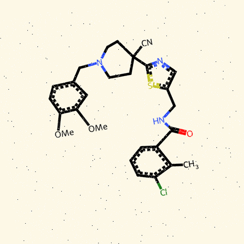 COc1ccc(CN2CCC(C#N)(c3ncc(CNC(=O)c4cccc(Cl)c4C)s3)CC2)cc1OC